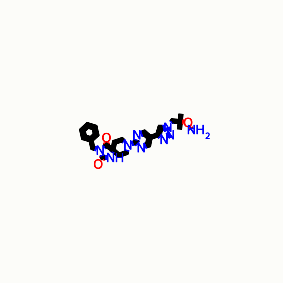 CC(C)(Cn1cc(-c2cnc(N3CCC4(CC3)NC(=O)N(Cc3ccccc3)C4=O)nc2)nn1)ON